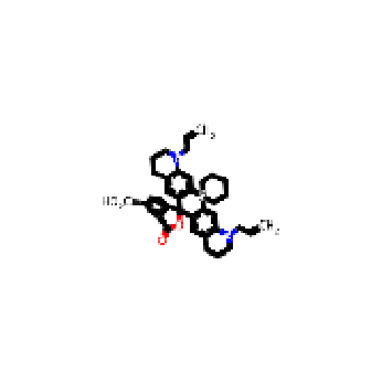 C=CCN1CCCc2cc3c(cc21)[Si]1(CCCCC1)c1cc2c(cc1C31OC(=O)c3cc(C(=O)O)ccc31)CCCN2CC=C